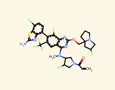 C=CC(=O)N1CC(F)C(N(C)c2nc(OCC34CCCN3CC(F)C4)nc3c(F)c(-c4ccc(F)c5sc(N)nc45)c(C(F)(F)F)cc23)C1